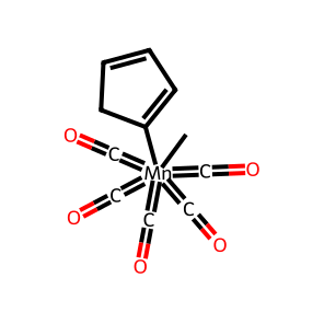 [CH3][Mn](=[C]=O)(=[C]=O)(=[C]=O)(=[C]=O)(=[C]=O)[C]1=CC=CC1